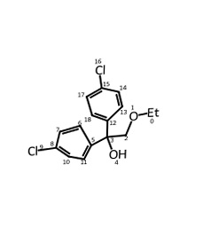 CCOCC(O)(c1ccc(Cl)cc1)c1ccc(Cl)cc1